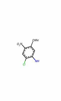 COc1cc([NH])c(Cl)cc1[N+](=O)[O-]